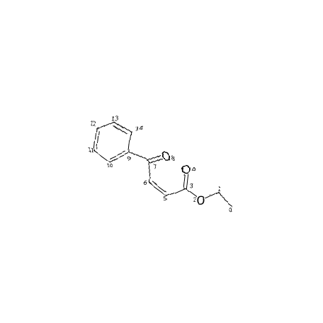 CCOC(=O)/C=C\C(=O)c1ccccc1